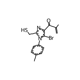 C=C(C)C(=O)c1nc(CS)n(-c2ccc(C)cc2)c1Br